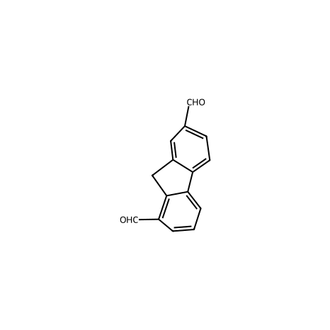 O=Cc1ccc2c(c1)Cc1c(C=O)cccc1-2